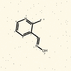 O/N=C/c1cccnc1F